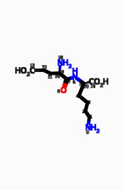 NCCCC[C@H](NC(=O)[C@H](N)CCC(=O)O)C(=O)O